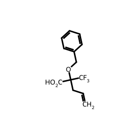 C=CCC(OCc1ccccc1)(C(=O)O)C(F)(F)F